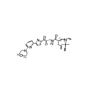 C#CC(C)(C)N(C=C)/C=C(\CC=C)C(=O)NCC(=O)Nc1nc(-c2cccc(N3C[C@@H](C)O[C@@H](C)C3)n2)cs1